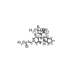 CC(=O)/C=C/c1cc(F)c([C@@H]2c3[nH]c4ccccc4c3C[C@@H](C)N2CC(C)(C)F)c(F)c1